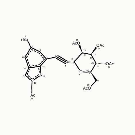 CCCCc1cc(C#C[C@H]2O[C@H](COC(C)=O)[C@@H](OC(C)=O)[C@H](OC(C)=O)[C@@H]2OC(C)=O)c2nn(C(C)=O)cc2c1